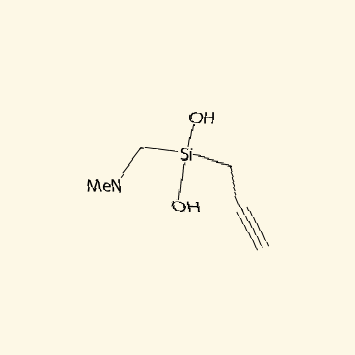 C#CC[Si](O)(O)CNC